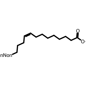 CCCCCCCCCCCC/C=C\CCCCCCCC([O])=O